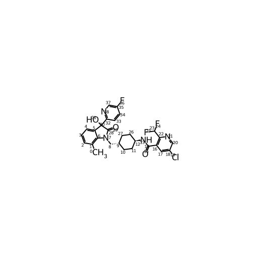 Cc1cccc2c1N(C[C@H]1CC[C@H](NC(=O)c3cc(Cl)cnc3C(F)F)CC1)C(=O)C2(O)c1ccc(F)cn1